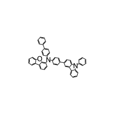 c1ccc(-c2ccc(N(c3ccc(-c4ccc5c(c4)c4ccccc4n5-c4ccccc4)cc3)c3cccc4c3oc3ccccc34)cc2)cc1